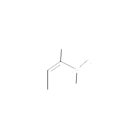 CCC=C(C)N(C)CC